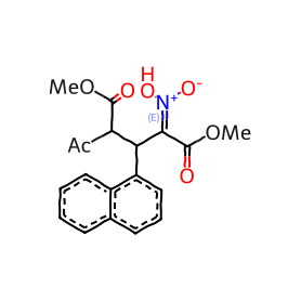 COC(=O)/C(C(c1cccc2ccccc12)C(C(C)=O)C(=O)OC)=[N+](\[O-])O